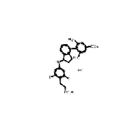 COc1cc(C)c(-c2cccc3c2CCC3Nc2cc(F)c(CCC(=O)O)c(F)c2)c(C)c1.Cl